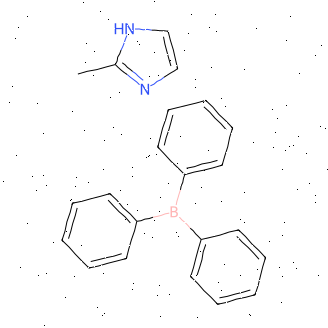 Cc1ncc[nH]1.c1ccc(B(c2ccccc2)c2ccccc2)cc1